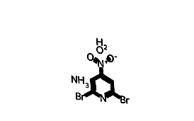 N.O.O=[N+]([O-])c1cc(Br)nc(Br)c1